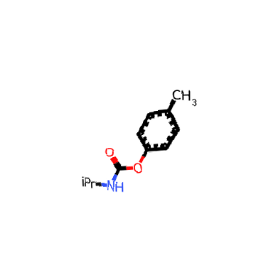 Cc1ccc(OC(=O)NC(C)C)cc1